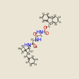 O=C(CNC(=O)OCC1c2ccccc2-c2ccccc21)NCC(=O)NC1CC(Cc2ccccc2)C12CCC2